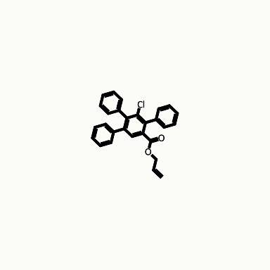 C=CCOC(=O)c1cc(-c2ccccc2)c(-c2ccccc2)c(Cl)c1-c1ccccc1